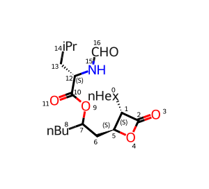 CCCCCC[C@@H]1C(=O)O[C@H]1CC(CCCC)OC(=O)[C@H](CC(C)C)NC=O